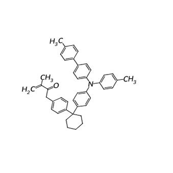 C=C(C)C(=O)Cc1ccc(C2(c3ccc(N(c4ccc(C)cc4)c4ccc(-c5ccc(C)cc5)cc4)cc3)CCCCC2)cc1